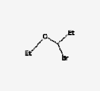 CCOC(Br)CC